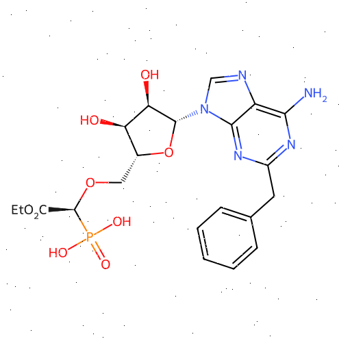 CCOC(=O)[C@@H](OC[C@H]1O[C@@H](n2cnc3c(N)nc(Cc4ccccc4)nc32)[C@H](O)[C@@H]1O)P(=O)(O)O